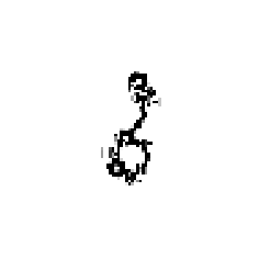 O=S1(=O)NCCCNc2nc(ncc2C#CCCNS(=O)(=O)c2ccccn2)Nc2cccc1c2